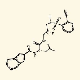 CC(C)C[C@H](NC(=O)c1cc2ccccc2s1)C(=O)NC[C@@H](F)CN(C)S(=O)(=O)c1ccccc1C#N